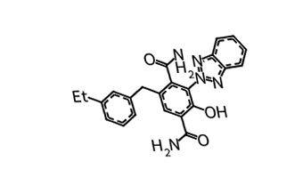 CCc1cccc(Cc2cc(C(N)=O)c(O)c(-n3nc4ccccc4n3)c2C(N)=O)c1